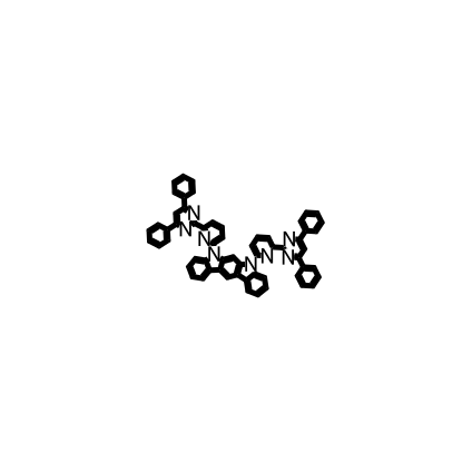 c1ccc(-c2cc(-c3ccccc3)nc(-c3cccc(-n4c5ccccc5c5cc6c7ccccc7n(-c7cccc(-c8nc(-c9ccccc9)cc(-c9ccccc9)n8)n7)c6cc54)n3)n2)cc1